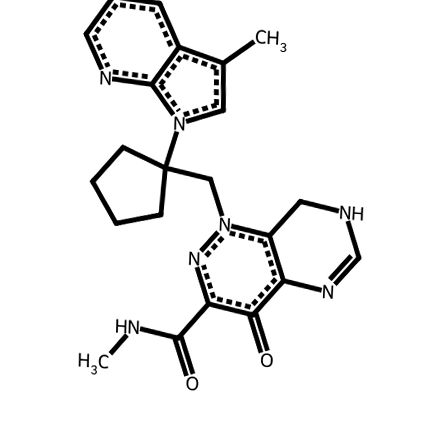 CNC(=O)c1nn(CC2(n3cc(C)c4cccnc43)CCCC2)c2c(c1=O)N=CNC2